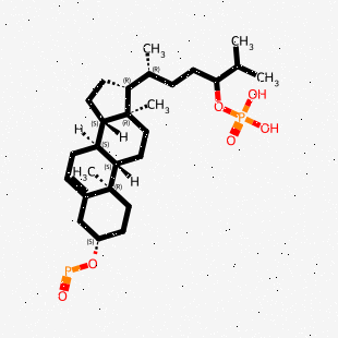 CC(C)C(CC[C@@H](C)[C@H]1CC[C@H]2[C@@H]3CC=C4C[C@@H](OP=O)CC[C@]4(C)[C@H]3CC[C@]12C)OP(=O)(O)O